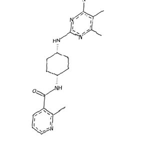 Cc1ncccc1C(=O)N[C@H]1CC[C@@H](Nc2nc(C)c(C)c(N(C)C)n2)CC1